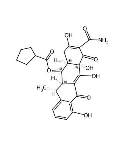 C[C@H]1c2cccc(O)c2C(=O)C2=C(O)[C@]3(O)C(=O)C(C(N)=O)=C(O)C[C@@H]3[C@@H](OC(=O)C3CCCC3)[C@@H]21